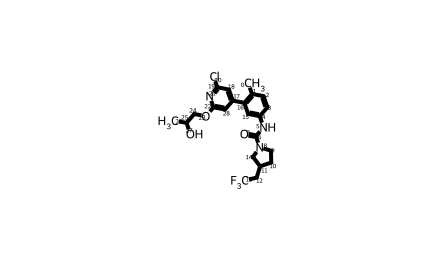 Cc1ccc(NC(=O)N2CCC(CC(F)(F)F)C2)cc1-c1cc(Cl)nc(OCC(C)O)c1